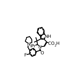 CC(C)C1N(C(=O)c2ccc(F)c(CN3CCCCC3)c2)C=C(C(=O)O)c2[nH]c3ccccc3c2C1(C)C